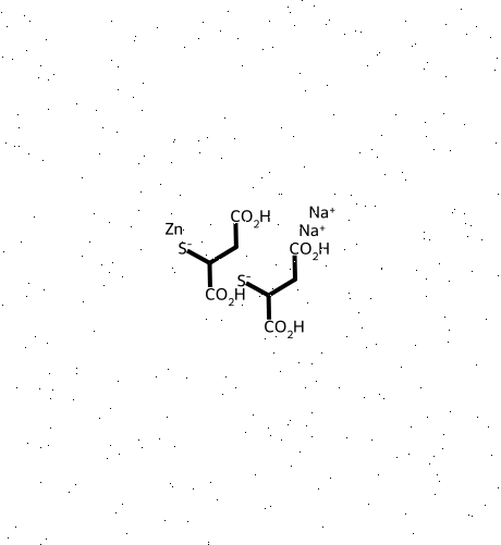 O=C(O)CC([S-])C(=O)O.O=C(O)CC([S-])C(=O)O.[Na+].[Na+].[Zn]